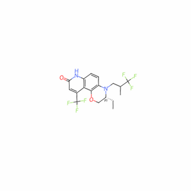 CC[C@@H]1COc2c(ccc3[nH]c(=O)cc(C(F)(F)F)c23)N1CC(C)C(F)(F)F